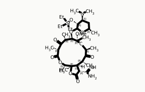 CC[C@@H]1OC(=O)[C@H](C)C(=O)[C@H](C)[C@@H](OC2O[C@H](C)C[C@H](N(C)C)[C@H]2O[Si](CC)(CC)CC)[C@](C)(OC)C[C@@H](C)C(=O)[C@H](C)[C@H]2[C@H](C(=N)N)C(=O)O[C@]21C